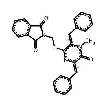 Cn1c(=O)/c(=C/c2ccccc2)nc(OCN2C(=O)c3ccccc3C2=O)/c1=C/c1ccccc1